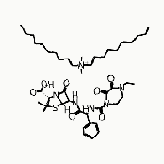 CCCCCCCCCC[N+](C)(C)CCCCCCCCCC.CCN1CCN(C(=O)N[C@@H](C(=O)N[C@@H]2C(=O)N3[C@@H]2SC(C)(C)[C@@H]3C(=O)O)c2ccccc2)C(=O)C1=O